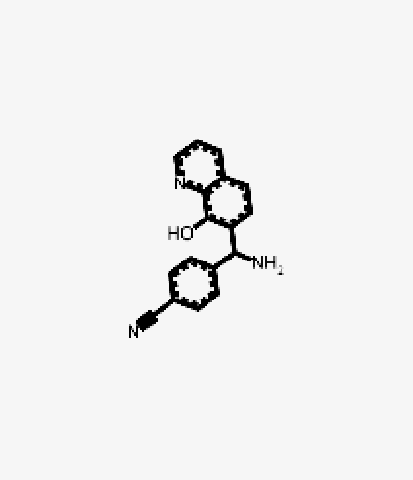 N#Cc1ccc(C(N)c2ccc3cccnc3c2O)cc1